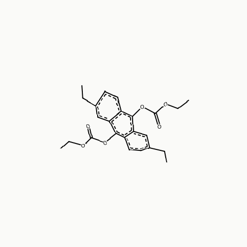 CCOC(=O)Oc1c2ccc(CC)cc2c(OC(=O)OCC)c2ccc(CC)cc12